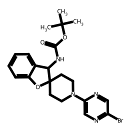 CC(C)(C)OC(=O)NC1c2ccccc2OC12CCN(c1cnc(Br)cn1)CC2